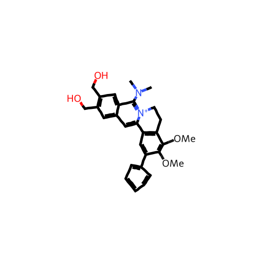 COc1c(-c2ccccc2)cc2c(c1OC)CC[n+]1c-2cc2cc(CO)c(CO)cc2c1N(C)C